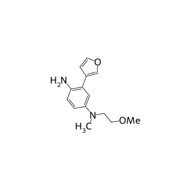 COCCN(C)c1ccc(N)c(-c2ccoc2)c1